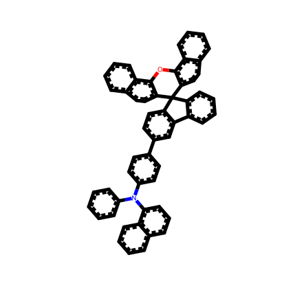 c1ccc(N(c2ccc(-c3ccc4c(c3)-c3ccccc3C43c4ccc5ccccc5c4Oc4c3ccc3ccccc43)cc2)c2cccc3ccccc23)cc1